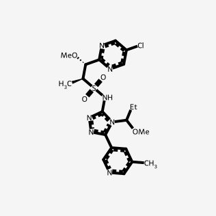 CCC(OC)n1c(NS(=O)(=O)[C@@H](C)[C@H](OC)c2ncc(Cl)cn2)nnc1-c1cncc(C)c1